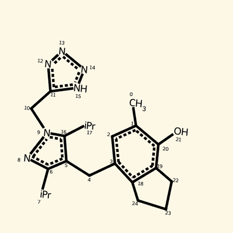 Cc1cc(Cc2c(C(C)C)nn(Cc3nnn[nH]3)c2C(C)C)c2c(c1O)CCC2